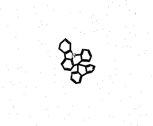 C1=Cc2c(c3cccc4c3n2-c2ccccc2C42c3ccccc3-c3ccccc32)CC1